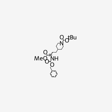 COC(=O)[C@@H](CCC1CCN(C(=O)OC(C)(C)C)CC1)NC(=O)OCc1ccccc1